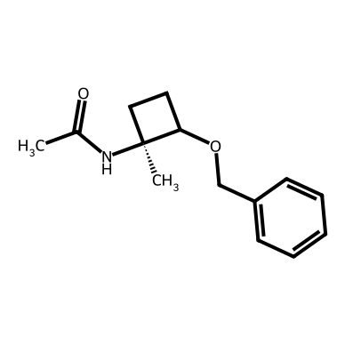 CC(=O)N[C@@]1(C)CCC1OCc1ccccc1